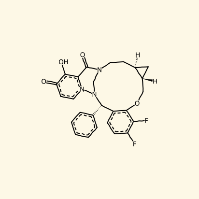 O=C1c2c(O)c(=O)ccn2N2CN1CC[C@H]1C[C@@H]1COc1c(ccc(F)c1F)[C@@H]2c1ccccc1